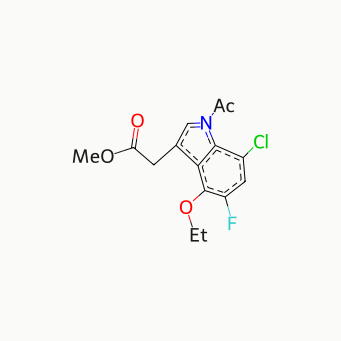 CCOc1c(F)cc(Cl)c2c1c(CC(=O)OC)cn2C(C)=O